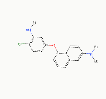 CCNc1cc(Oc2cccc3cc(N(CC)CC)ccc23)ccc1Cl